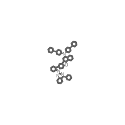 c1ccc(-c2ccc(N(c3ccc(-c4ccccc4)cc3)c3cc4c5cc6c7ccccc7n(-c7nc(-c8ccccc8)c8ccccc8n7)c6cc5oc4c4ccccc34)cc2)cc1